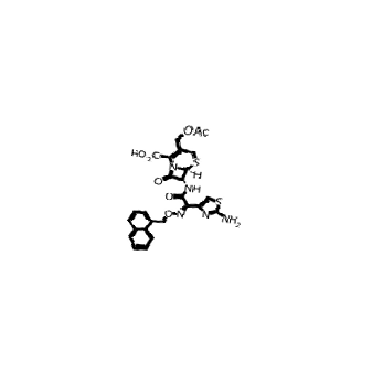 CC(=O)OCC1=C(C(=O)O)N2C(=O)[C@@H](NC(=O)C(=NOCc3cccc4ccccc34)c3csc(N)n3)[C@@H]2SC1